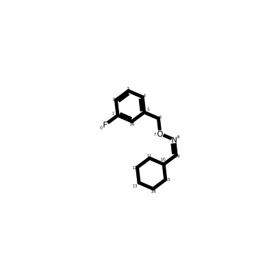 Fc1cccc(CO/N=[C]\C2CCCCC2)c1